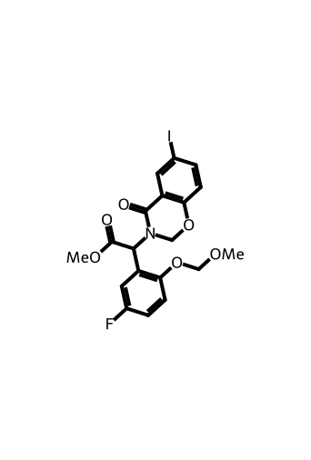 COCOc1ccc(F)cc1C(C(=O)OC)N1COc2ccc(I)cc2C1=O